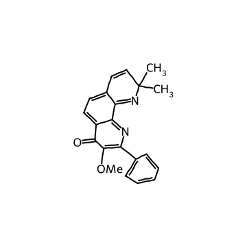 COC1=C(c2ccccc2)N=c2c(ccc3c2=NC(C)(C)C=C3)C1=O